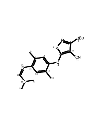 Cc1cc(Oc2snc(C(C)(C)C)c2C#N)c(C)cc1/N=C\N(C)C